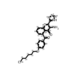 Nc1c(-c2nnn[nH]2)oc2cccc(C(=O)c3ccc(OCCCCCCl)cc3)c2c1=O